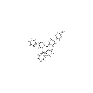 Brc1ccc(-c2ccc(N(c3ccc(-c4ccccc4)cc3)c3cccc4c3oc3ccccc34)cc2)cc1